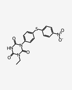 CCn1c(=O)[nH]c(=O)n(-c2ccc(Sc3ccc([N+](=O)[O-])cc3)cc2)c1=O